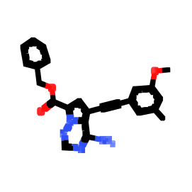 COc1cc(C)cc(C#Cc2cc(C(=O)OCc3ccccc3)n3ncnc(N)c23)c1